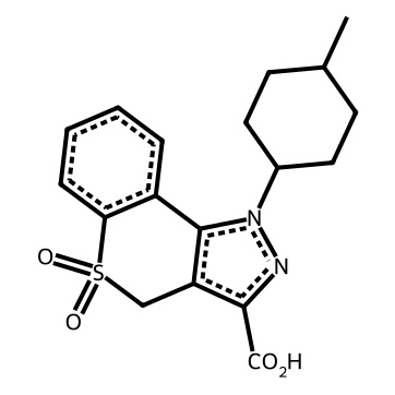 CC1CCC(n2nc(C(=O)O)c3c2-c2ccccc2S(=O)(=O)C3)CC1